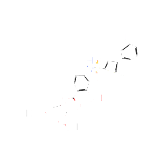 COCC(COC)OC(=O)c1ccc(NS(=O)(=O)c2cc(-c3cccc(F)c3)c(Cl)s2)cc1O